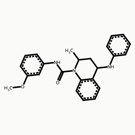 COc1cccc(NC(=O)N2c3ccccc3C(Nc3ccccc3)CC2C)c1